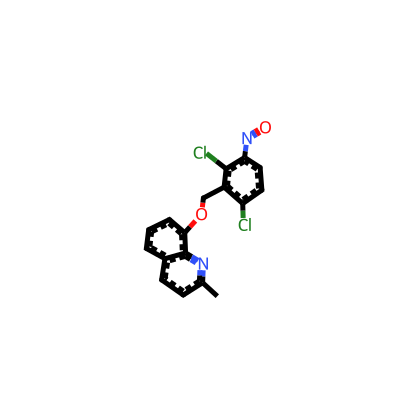 Cc1ccc2cccc(OCc3c(Cl)ccc(N=O)c3Cl)c2n1